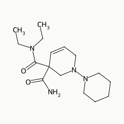 CCN(CC)C(=O)C1(C(N)=O)C=CCN(N2CCCCC2)C1